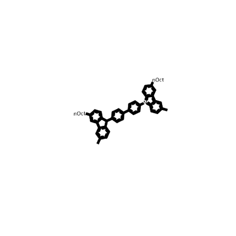 CCCCCCCCc1ccc2c(c1)-c1cc(C)ccc1C2c1ccc(-c2ccc(-n3c4ccc(C)cc4c4cc(CCCCCCCC)ccc43)cc2)cc1